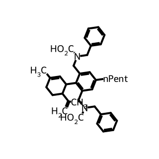 C=C(C)C1CCC(C)=CC1c1c(CN(Cc2ccccc2)C(=O)O)cc(CCCCC)cc1CN(Cc1ccccc1)C(=O)O